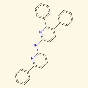 c1ccc(-c2cccc(Nc3ccc(-c4ccccc4)c(-c4ccccc4)n3)n2)cc1